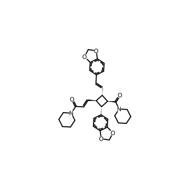 O=C(/C=C/[C@H]1[C@H](/C=C/c2ccc3c(c2)OCO3)[C@@H](C(=O)N2CCCCC2)[C@@H]1c1ccc2c(c1)OCO2)N1CCCCC1